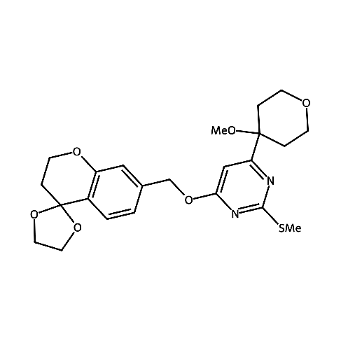 COC1(c2cc(OCc3ccc4c(c3)OCCC43OCCO3)nc(SC)n2)CCOCC1